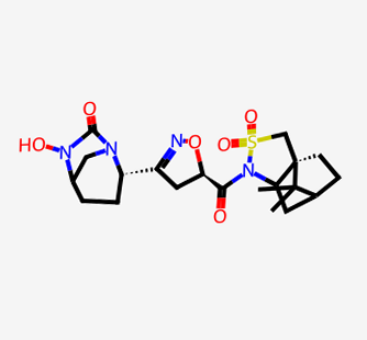 CC1(C)C2CC[C@]13CS(=O)(=O)N(C(=O)[C@H]1CC([C@@H]4CCC5CN4C(=O)N5O)=NO1)C3C2